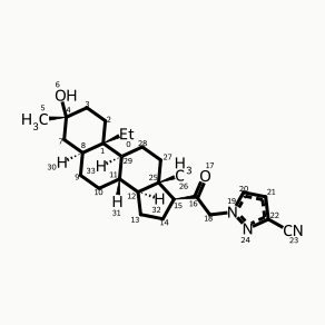 CC[C@]12CC[C@@](C)(O)C[C@@H]1CC[C@H]1[C@@H]3CC[C@H](C(=O)Cn4ccc(C#N)n4)[C@@]3(C)CC[C@@H]12